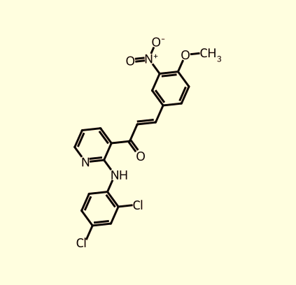 COc1ccc(C=CC(=O)c2cccnc2Nc2ccc(Cl)cc2Cl)cc1[N+](=O)[O-]